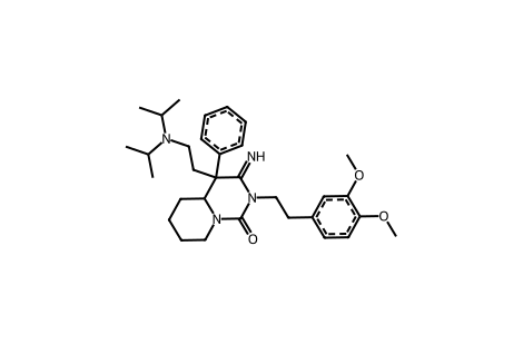 COc1ccc(CCN2C(=N)C(CCN(C(C)C)C(C)C)(c3ccccc3)C3CCCCN3C2=O)cc1OC